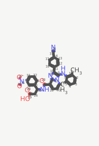 Cc1cccc(C)c1Nc1c(-c2ccc(C#N)cc2)nc2c(C(=O)NC(CC(=O)O)c3cccc([N+](=O)[O-])c3)cccn12